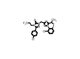 CC(F)c1nc(Cn2nc(-c3ccc(Cl)cc3)n(CCC(F)(F)F)c2=O)nn1-c1c(F)cccc1Cl